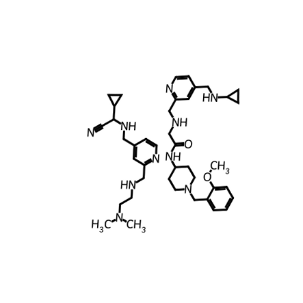 CN(C)CCNCc1cc(CNC(C#N)C2CC2)ccn1.COc1ccccc1CN1CCC(NC(=O)CNCc2cc(CNC3CC3)ccn2)CC1